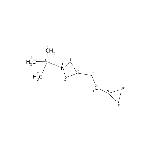 CC(C)(C)N1CC(COC2CC2)C1